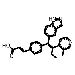 CCC(=C(c1ccc(C=CC(=O)O)cc1)c1ccc2[nH]ncc2c1)c1ccncc1C